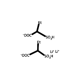 CCC(C(=O)[O-])S(=O)(=O)O.CCC(C(=O)[O-])S(=O)(=O)O.[Li+].[Li+]